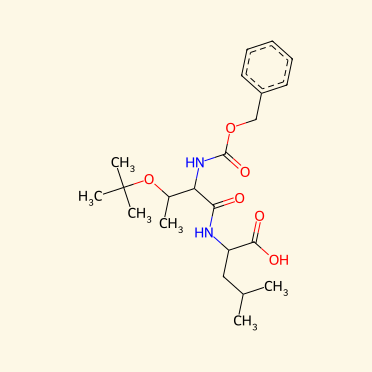 CC(C)CC(NC(=O)C(NC(=O)OCc1ccccc1)C(C)OC(C)(C)C)C(=O)O